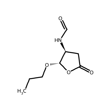 CCCO[C@H]1OC(=O)C[C@@H]1NC=O